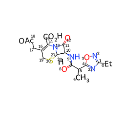 CCc1noc(C(C)C(=O)N[C@@H]2C(=O)N3C(C(=O)O)=C(COC(C)=O)CS[C@H]23)n1